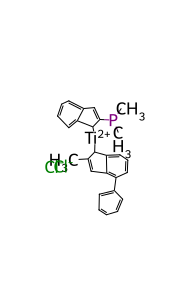 CC1=Cc2c(-c3ccccc3)cccc2[CH]1[Ti+2][CH]1C(P(C)C)=Cc2ccccc21.[Cl-].[Cl-]